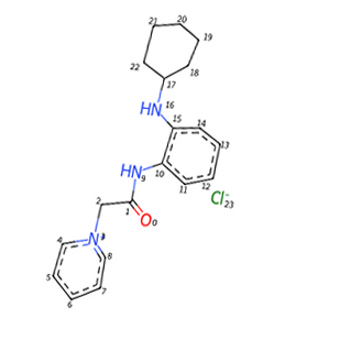 O=C(C[n+]1ccccc1)Nc1ccccc1NC1CCCCC1.[Cl-]